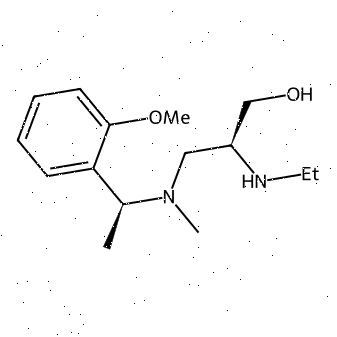 CCN[C@H](CO)CN(C)[C@@H](C)c1ccccc1OC